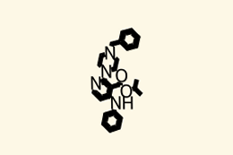 CC(C)OC(=O)c1c(Nc2ccccc2)ccnc1N1CCN(Cc2ccccc2)CC1